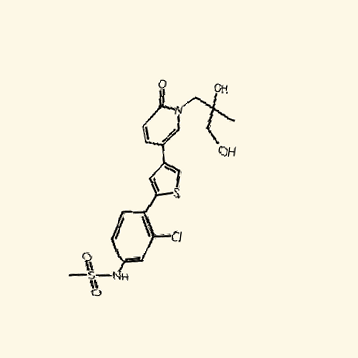 CC(O)(CO)Cn1cc(-c2csc(-c3ccc(NS(C)(=O)=O)cc3Cl)c2)ccc1=O